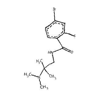 CN(C)C(C)(C)CNC(=O)c1ccc(Br)cc1F